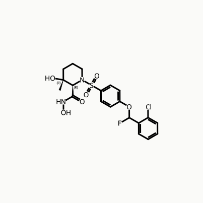 C[C@@]1(O)CCCN(S(=O)(=O)c2ccc(OC(F)c3ccccc3Cl)cc2)[C@H]1C(=O)NO